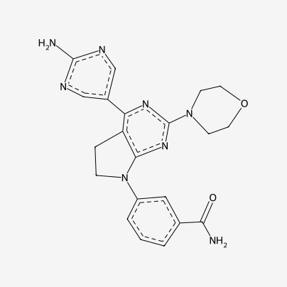 NC(=O)c1cccc(N2CCc3c(-c4cnc(N)nc4)nc(N4CCOCC4)nc32)c1